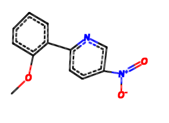 COc1ccccc1-c1ccc([N+](=O)[O-])cn1